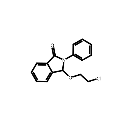 O=C1c2ccccc2C(OCCCl)N1c1ccccc1